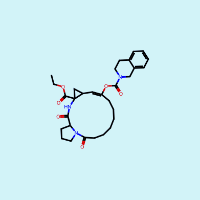 CCOC(=O)C12CC1C=C(OC(=O)N1CCc3ccccc3C1)CCCCCCC(=O)N1CCCC1C(=O)N2